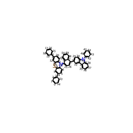 c1ccc(-c2ccc3c(c2)Sc2cc(-c4ccccc4)ccc2N3c2ccc(-c3ccc4c(c3)c3ccccc3n4-c3ccccc3)c3ccccc23)cc1